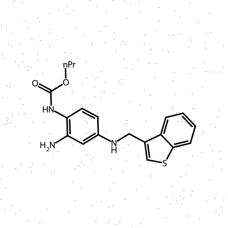 CCCOC(=O)Nc1ccc(NCc2csc3ccccc23)cc1N